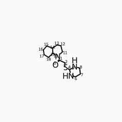 O=C(CSC1NCCCN1)N1CCCC2CCCCC21